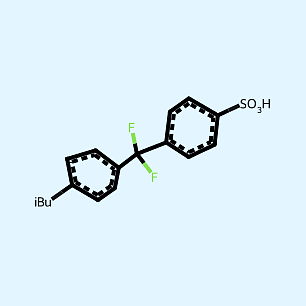 CCC(C)c1ccc(C(F)(F)c2ccc(S(=O)(=O)O)cc2)cc1